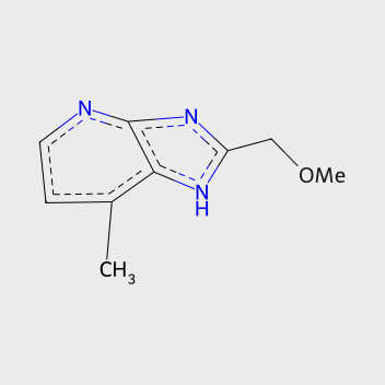 COCc1nc2nccc(C)c2[nH]1